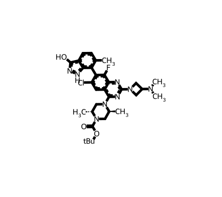 Cc1ccc2c(O)n[nH]c2c1-c1c(Cl)cc2c(N3C[C@@H](C)N(C(=O)OC(C)(C)C)C[C@@H]3C)nc(N3CC(N(C)C)C3)nc2c1F